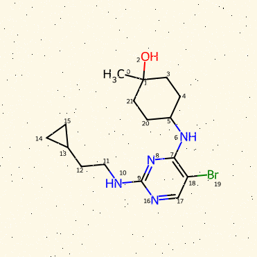 CC1(O)CCC(Nc2nc(NCCC3CC3)ncc2Br)CC1